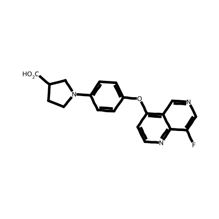 O=C(O)C1CCN(c2ccc(Oc3ccnc4c(F)cncc34)cc2)C1